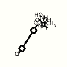 CC(O)(C(F)F)[C@H](NC(=O)c1ccc(C#CC#Cc2ccc(Cl)cc2)cc1)C(=O)NO